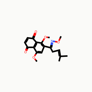 CON=C(CC=C(C)C)c1cc(OC)c2c(c1OC)C(=O)C=CC2=O